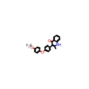 Cc1[nH]c2ccccc2c(=O)c1-c1ccc(Oc2ccc(OC(F)(F)F)cc2)cc1